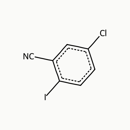 N#Cc1cc(Cl)ccc1I